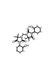 CC1(C)C(=O)N(C2CCCCC2O)C(=O)N1CN1C(=O)N(C2CCCCC2O)C(=O)C1(C)C